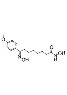 COc1ccc(/C(CCCCCCC(=O)NO)=N/O)cc1